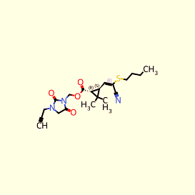 C#CCN1CC(=O)N(COC(=O)[C@@H]2[C@@H](/C=C(\C#N)SCCCC)C2(C)C)C1=O